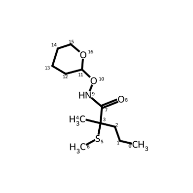 CCCC(C)(SC)C(=O)NOC1CCCCO1